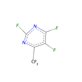 Fc1nc(F)c(F)c(C(F)(F)F)n1